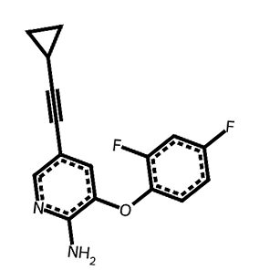 Nc1ncc(C#CC2CC2)cc1Oc1ccc(F)cc1F